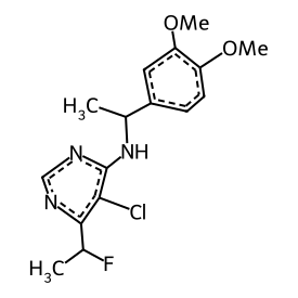 COc1ccc(C(C)Nc2ncnc(C(C)F)c2Cl)cc1OC